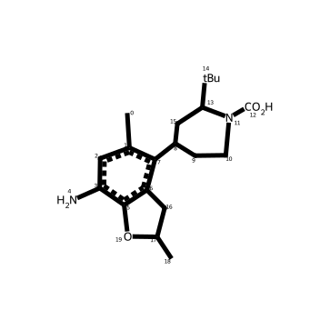 Cc1cc(N)c2c(c1C1CCN(C(=O)O)C(C(C)(C)C)C1)CC(C)O2